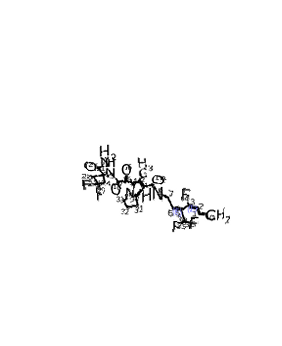 C=C/C=C(F)\C(=C/CNC(=O)c1c(C)c(C(=O)C(=O)NC2(C(N)=O)CC(F)(F)C2)n2c1CCC2)C(F)F